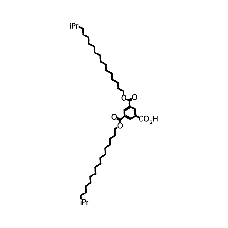 CC(C)CCCCCCCCCCCCCCCOC(=O)c1cc(C(=O)O)cc(C(=O)OCCCCCCCCCCCCCCCC(C)C)c1